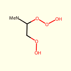 CNC(COO)OOO